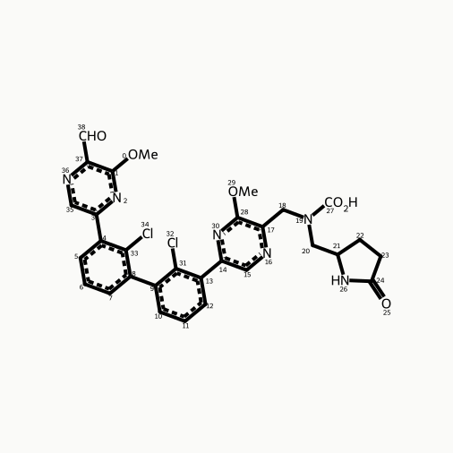 COc1nc(-c2cccc(-c3cccc(-c4cnc(CN(CC5CCC(=O)N5)C(=O)O)c(OC)n4)c3Cl)c2Cl)cnc1C=O